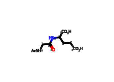 CC(=O)NCC(=O)NC(CCC(=O)O)C(=O)O